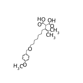 COc1ccc(COCCCCCCCC(=C(C)C)C(C(=O)O)C(=O)O)cc1